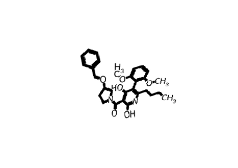 CCCCc1nc(O)c(C(=O)N2CCC(OCc3ccccc3)C2)c(O)c1-c1c(OC)cccc1OC